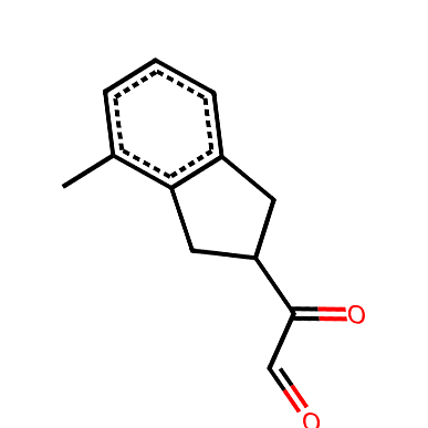 Cc1cccc2c1CC(C(=O)C=O)C2